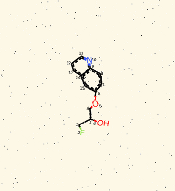 OC(CF)COc1ccc2ncccc2c1